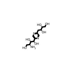 N[C@H](CO)[C@@H](O)[C@H](O)c1cnc(C[C@H](O)[C@H](O)CO)cn1